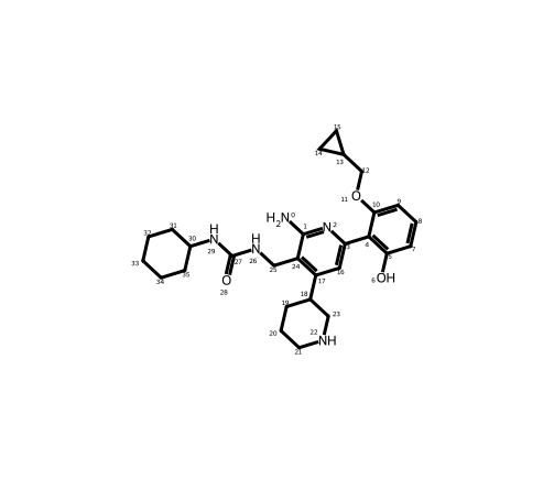 Nc1nc(-c2c(O)cccc2OCC2CC2)cc(C2CCCNC2)c1CNC(=O)NC1CCCCC1